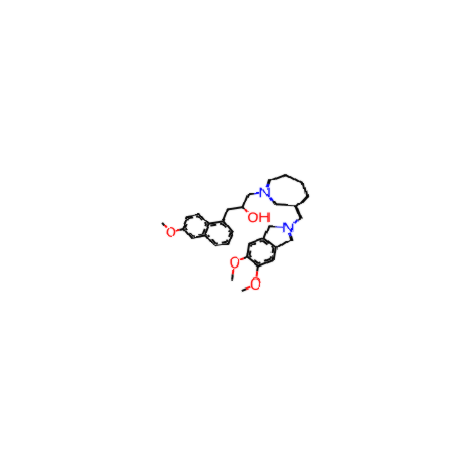 COc1ccc2c(CC(O)CN3CCCCC(CN4Cc5cc(OC)c(OC)cc5C4)C3)cccc2c1